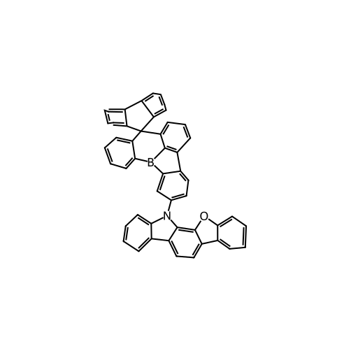 c1ccc2c(c1)B1c3cc(-n4c5ccccc5c5ccc6c7ccccc7oc6c54)ccc3-c3cccc(c31)C21c2ccccc2-c2ccccc21